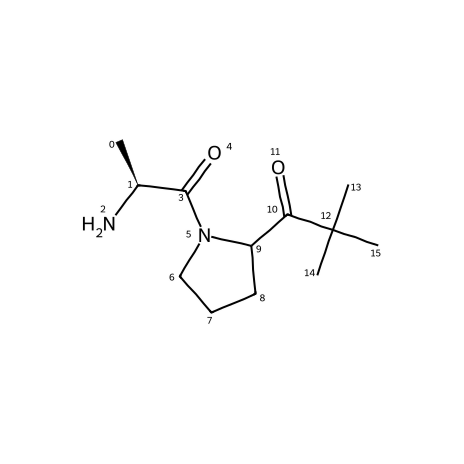 C[C@H](N)C(=O)N1CCCC1C(=O)C(C)(C)C